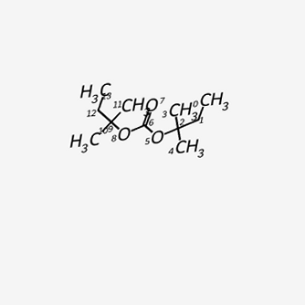 CCC(C)(C)OC(=O)OC(C)(C)CC